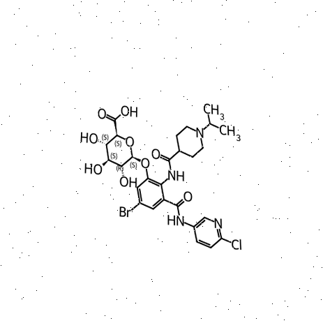 CC(C)N1CCC(C(=O)Nc2c(O[C@@H]3O[C@H](C(=O)O)[C@@H](O)[C@H](O)[C@H]3O)cc(Br)cc2C(=O)Nc2ccc(Cl)nc2)CC1